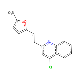 O=[N+]([O-])c1ccc(C=Cc2cc(Cl)c3ccccc3n2)o1